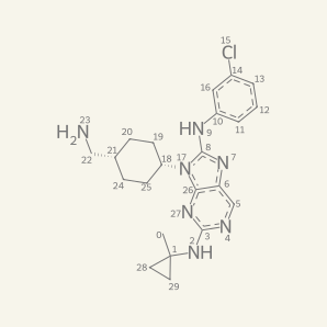 CC1(Nc2ncc3nc(Nc4cccc(Cl)c4)n([C@H]4CC[C@@H](CN)CC4)c3n2)CC1